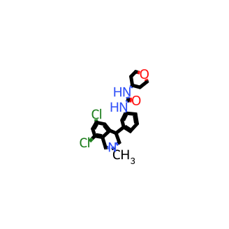 CN1Cc2c(Cl)cc(Cl)cc2C(c2cccc(NC(=O)NC3CCOCC3)c2)C1